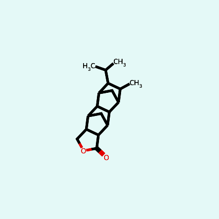 CC(C)C1C(C)C2CC1C1C3CC(C4C(=O)OCC34)C21